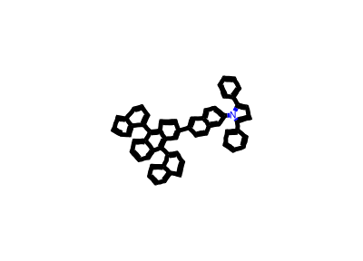 c1ccc(-c2ccc(-c3ccccc3)n2-c2ccc3cc(-c4ccc5c(-c6cccc7ccccc67)c6ccccc6c(-c6cccc7ccccc67)c5c4)ccc3c2)cc1